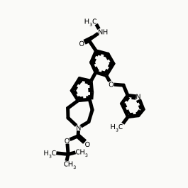 CNC(=O)c1ccc(OCc2cc(C)ccn2)c(-c2ccc3c(c2)CCN(C(=O)OC(C)(C)C)CC3)c1